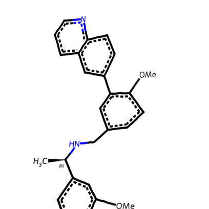 COc1cccc([C@@H](C)NCc2ccc(OC)c(-c3ccc4ncccc4c3)c2)c1